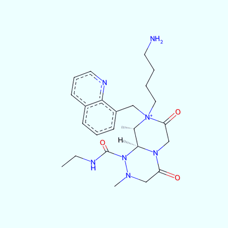 CCNC(=O)N1[C@H]2[C@H](C)[N+](CCCCN)(Cc3cccc4cccnc34)C(=O)CN2C(=O)CN1C